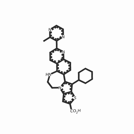 Cc1nccnc1-c1ccc2c3c(ccc2n1)-c1c(C2CCCCC2)c2sc(C(=O)O)cc2n1CCN3